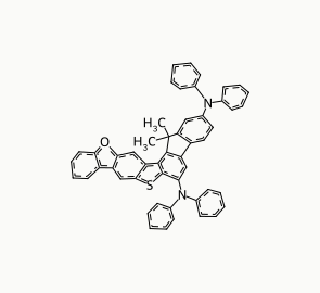 CC1(C)c2cc(N(c3ccccc3)c3ccccc3)ccc2-c2cc(N(c3ccccc3)c3ccccc3)c3sc4cc5c(cc4c3c21)oc1ccccc15